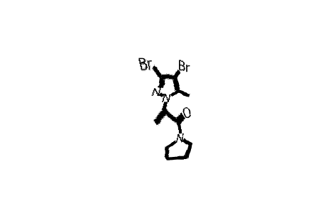 Cc1c(Br)c(Br)nn1C(C)C(=O)N1CCCC1